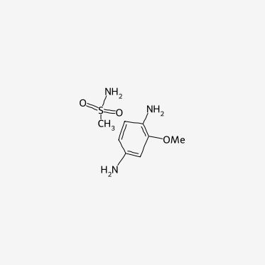 COc1cc(N)ccc1N.CS(N)(=O)=O